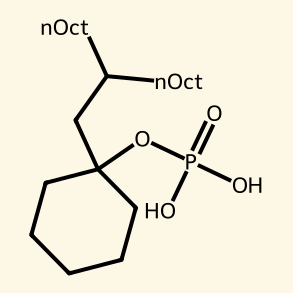 CCCCCCCCC(CCCCCCCC)CC1(OP(=O)(O)O)CCCCC1